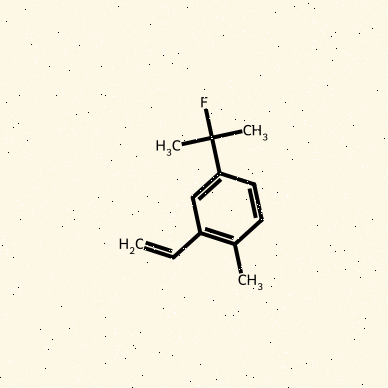 C=Cc1cc(C(C)(C)F)ccc1C